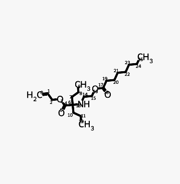 C=CCOC(=O)C(CCC)(CCC)NCCOC(=O)CCCCCCC